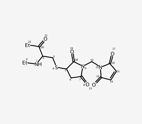 CCNC(CSC1CC(=O)N(CN2C(=O)C=CC2=O)C1=O)C(=O)CC